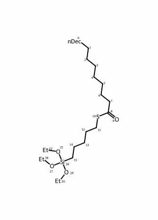 CCCCCCCCCCCCCCCCCC(=O)SCCCCC[Si](OCC)(OCC)OCC